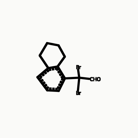 O=CC(Br)(Br)c1cccc2c1CCCC2